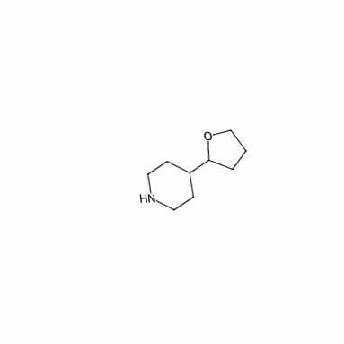 C1COC(C2CCNCC2)C1